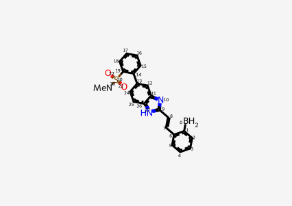 Bc1ccccc1/C=C/c1nc2cc(-c3ccccc3S(=O)(=O)NC)ccc2[nH]1